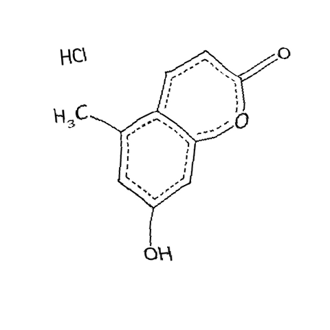 Cc1cc(O)cc2oc(=O)ccc12.Cl